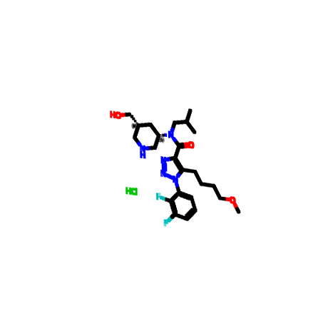 COCCCCc1c(C(=O)N(CC(C)C)[C@@H]2CNC[C@H](CO)C2)nnn1-c1cccc(F)c1F.Cl